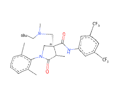 Cc1cccc(C)c1N1C[C@@](CN(C)CC(C)(C)C)(C(=O)Nc2cc(C(F)(F)F)cc(C(F)(F)F)c2)C(C)C1=O